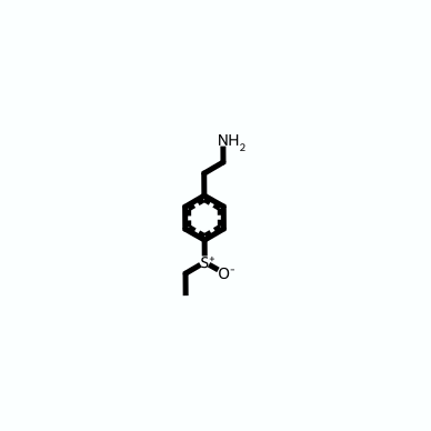 CC[S+]([O-])c1ccc(CCN)cc1